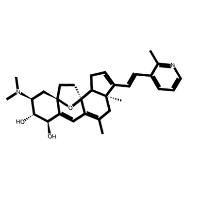 CC1=C2C=C3[C@@H](O)[C@H](O)[C@@H](N(C)C)C[C@]34CC[C@]2(O4)C2CC=C(/C=C/c3cccnc3C)[C@@]2(C)C1